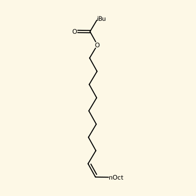 CCCCCCCC/C=C\CCCCCCCCOC(=O)C(C)CC